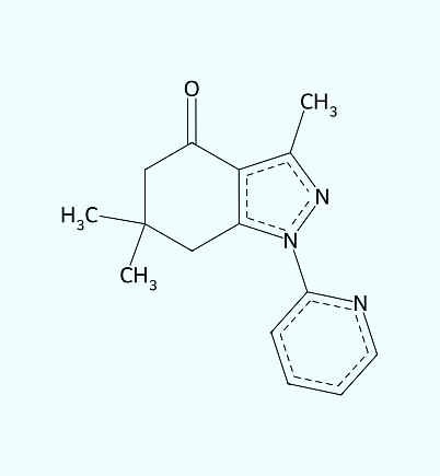 Cc1nn(-c2ccccn2)c2c1C(=O)CC(C)(C)C2